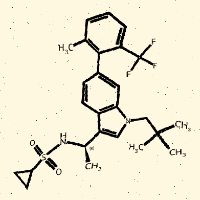 Cc1cccc(C(F)(F)F)c1-c1ccc2c([C@@H](C)NS(=O)(=O)C3CC3)cn(CC(C)(C)C)c2c1